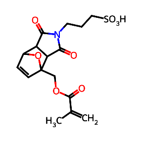 C=C(C)C(=O)OCC12C=CC(O1)C1C(=O)N(CCCS(=O)(=O)O)C(=O)C12